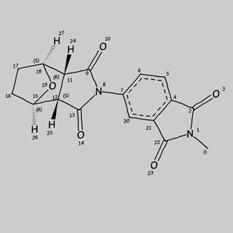 CN1C(=O)c2ccc(N3C(=O)[C@@H]4[C@H](C3=O)[C@H]3CC[C@@H]4O3)cc2C1=O